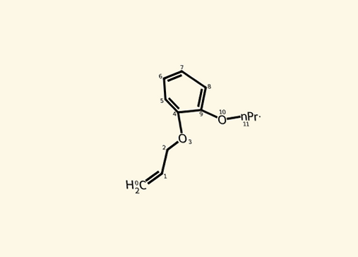 C=CCOc1ccccc1O[CH]CC